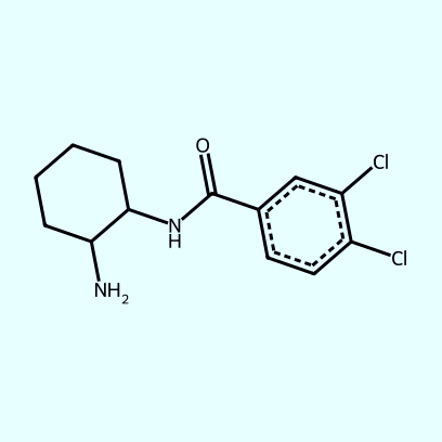 NC1CCCCC1NC(=O)c1ccc(Cl)c(Cl)c1